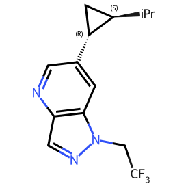 CC(C)[C@@H]1C[C@H]1c1cnc2cnn(CC(F)(F)F)c2c1